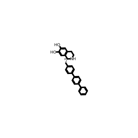 Oc1cc2c(cc1O)[C@@H](Cc1ccc(-c3ccc(-c4ccccc4)cc3)cc1)NCC2